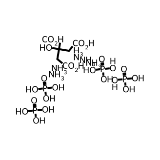 N.N.N.N.N.O=C(O)CC(O)(CC(=O)O)C(=O)O.O=P(O)(O)O.O=P(O)(O)O.O=P(O)(O)O.O=P(O)(O)O